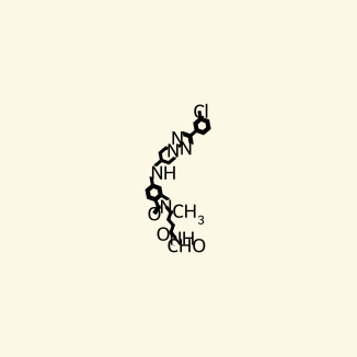 CC(CCC(=O)NC=O)N1Cc2cc(CNCC3CCN(c4ncc(-c5cccc(Cl)c5)cn4)CC3)ccc2C1=O